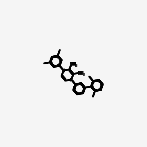 Cc1cc(C)cc(N2C=CN(c3cccc(-c4c(C)cccc4C)c3)C(N)=C2N)c1